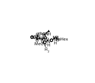 C=Cc1cc(C(=O)Nc2ccc(C(=N)NC(=O)OCCCCCC)cc2)c(-c2ccc(C(=O)NCC3CC3)nc2C(=O)OCOC(=O)[C@H](Cc2ccccc2)NC(=O)OC(C)(C)C)cc1OC